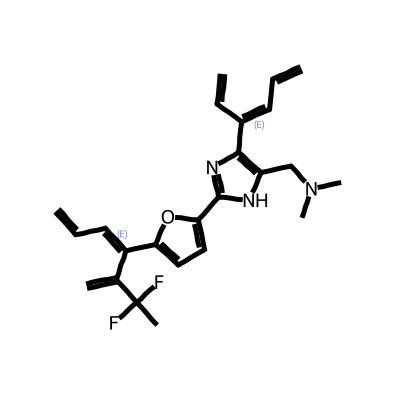 C=C/C=C(\C(=C)C(C)(F)F)c1ccc(-c2nc(/C(C=C)=C/C=C)c(CN(C)C)[nH]2)o1